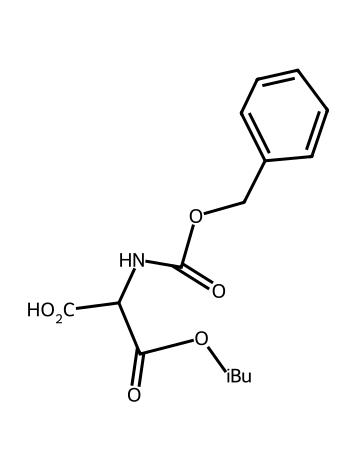 CCC(C)OC(=O)C(NC(=O)OCc1ccccc1)C(=O)O